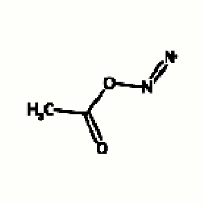 CC(=O)ON=[N]